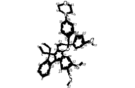 CCC1(CC)c2ccccc2-c2c1c1c(c3cc(SC)c(SC)cc23)OC(c2ccc(OC)cc2)(c2ccc(N3CCOCC3)cc2)C=C1